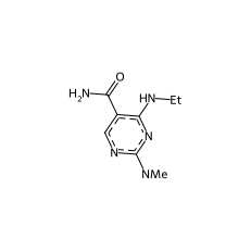 CCNc1nc(NC)ncc1C(N)=O